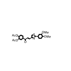 COc1ccc(-c2nc(C=CC(=O)c3ccc(OC(C)=O)c(OC(C)=O)c3)cs2)cc1OC